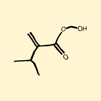 C=C(C(=O)OO)C(C)C